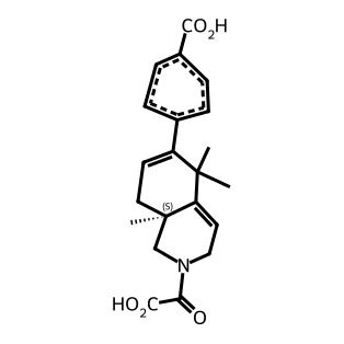 CC1(C)C(c2ccc(C(=O)O)cc2)=CC[C@]2(C)CN(C(=O)C(=O)O)CC=C12